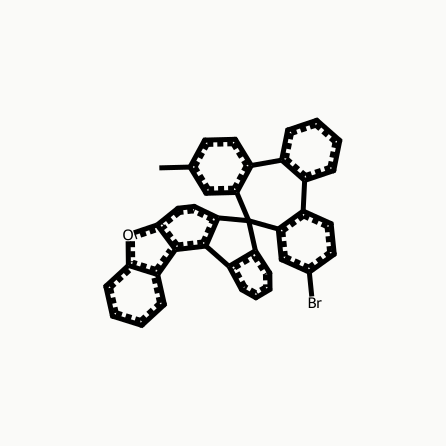 Cc1ccc2c(c1)C1(c3cc(Br)ccc3-c3ccccc3-2)c2ccccc2-c2c1ccc1oc3ccccc3c21